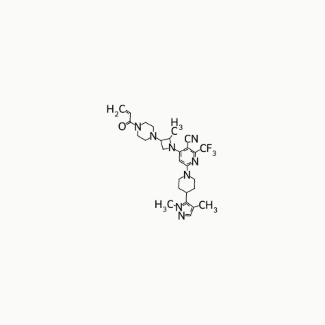 C=CC(=O)N1CCN(C2CN(c3cc(N4CCC(c5c(C)cnn5C)CC4)nc(C(F)(F)F)c3C#N)C2C)CC1